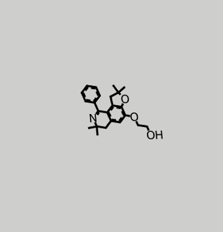 CC1(C)Cc2cc(OCCO)c3c(c2C(c2ccccc2)=N1)CC(C)(C)O3